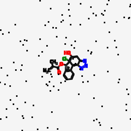 C=C(C)C(=O)OC(CC)C1(Cl)C(O)=CC2=NN=NC2=C1c1ccccc1